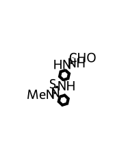 CNN(C(=S)Nc1ccc(NNC=O)cc1)c1ccccc1